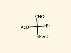 CCCCCC([C]=O)(CC)OC(C)=O